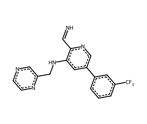 N=Cc1ncc(-c2cccc(C(F)(F)F)c2)cc1NCc1cnccn1